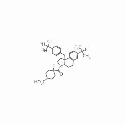 [2H]C([2H])([2H])c1ccc(CC23CCN(C(=O)[C@]4(F)CC[C@@H](C(=O)O)CC4)C2CCc2cc(C(C)(F)C(F)(F)F)ccc23)cc1